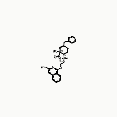 CCCCc1cc2ccccc2c(OCC[N+](C)(C)[C@H]2CCC(Cc3ccncc3)C[C@@]2(O)C(N)=O)n1